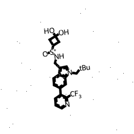 CC(C)(C)Cn1cc(CN[S+]([O-])C2CC(O)(O)C2)c2ccc(-c3cccnc3C(F)(F)F)cc21